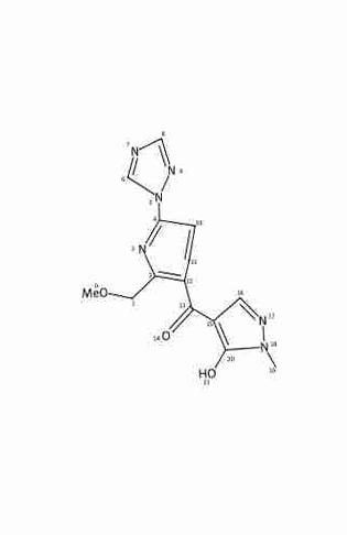 COCc1nc(-n2cncn2)ccc1C(=O)c1cnn(C)c1O